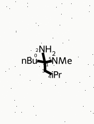 CCCCC(N)(CC(C)C)NC